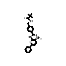 CC(C)(C)C(=O)NCc1ccc(C(=O)Nc2nc(-c3ccccc3)ccc2N)cc1